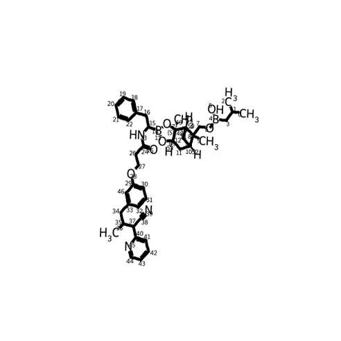 CC(C)CB(O)OCC1(C)[C@@H]2C[C@H]3OB(C(Cc4ccccc4)NC(=O)CCOc4cccc(CC(C)C(C#N)c5ccccn5)c4)O[C@@]3(C)[C@H]1C2